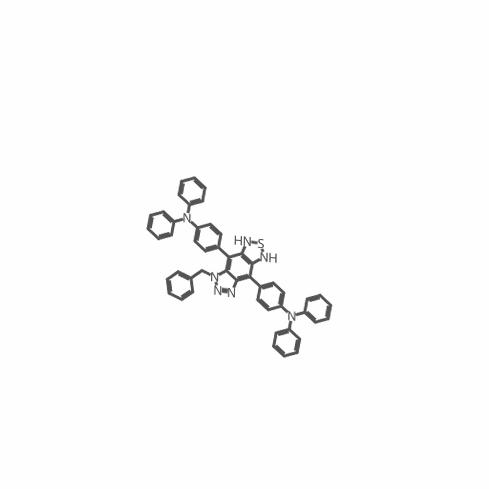 c1ccc(Cn2nnc3c(-c4ccc(N(c5ccccc5)c5ccccc5)cc4)c4c(c(-c5ccc(N(c6ccccc6)c6ccccc6)cc5)c32)NSN4)cc1